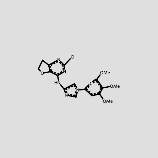 COc1cc(-n2cnc(Nc3nc(Cl)nc4c3OCC4)c2)cc(OC)c1OC